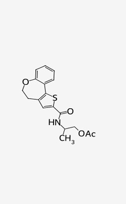 CC(=O)OCC(C)NC(=O)c1cc2c(s1)-c1ccccc1OCC2